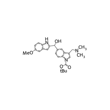 COc1ccc2[nH]c(C(O)c3ccc4c(c3)c(CN(C)C)cn4C(=O)OC(C)(C)C)cc2c1